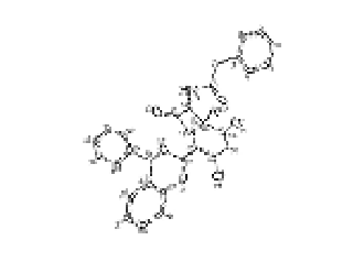 O=C(Cc1ccccc1)NC1C(=O)N2C(C(=O)OC(c3ccccc3)c3ccccc3)=C(Cl)C[S+]([O-])[C@@H]12